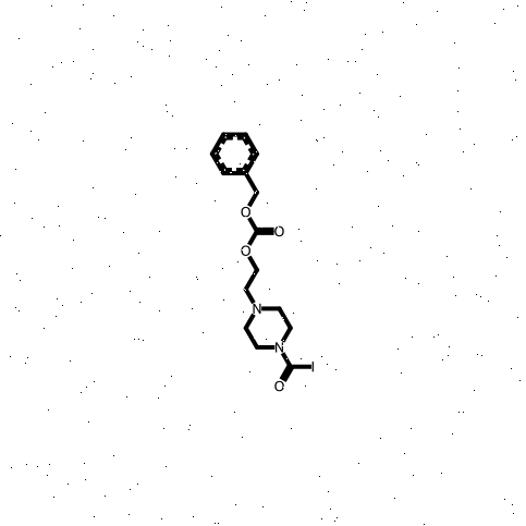 O=C(OCCN1CCN(C(=O)I)CC1)OCc1ccccc1